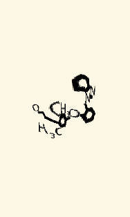 Cc1cc(COc2ccccc2Cn2cnc3ccccc32)cc(C)c1CCC=O